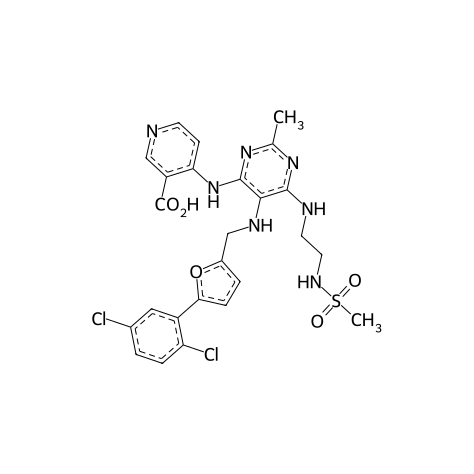 Cc1nc(NCCNS(C)(=O)=O)c(NCc2ccc(-c3cc(Cl)ccc3Cl)o2)c(Nc2ccncc2C(=O)O)n1